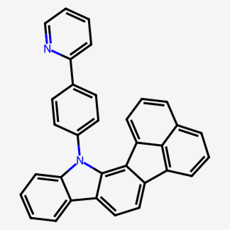 c1ccc(-c2ccc(-n3c4ccccc4c4ccc5c(c43)-c3cccc4cccc-5c34)cc2)nc1